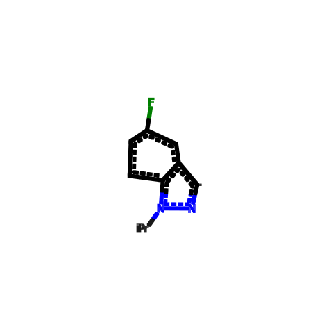 CC(C)n1n[c]c2cc(F)ccc21